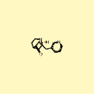 O=C1C2CCN(CC2)[C@H]1Cc1cccnc1